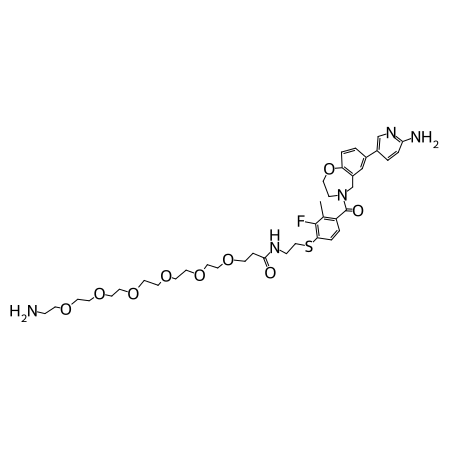 Cc1c(C(=O)N2CCOc3ccc(-c4ccc(N)nc4)cc3C2)ccc(SCCNC(=O)CCOCCOCCOCCOCCOCCOCCN)c1F